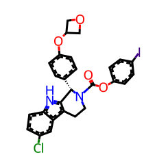 O=C(Oc1ccc(I)cc1)N1CCc2c([nH]c3ccc(Cl)cc23)[C@@H]1c1ccc(OC2COC2)cc1